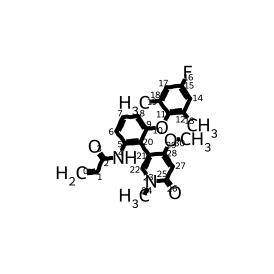 C=CC(=O)Nc1cccc(Oc2c(C)cc(F)cc2C)c1-c1cn(C)c(=O)cc1OC